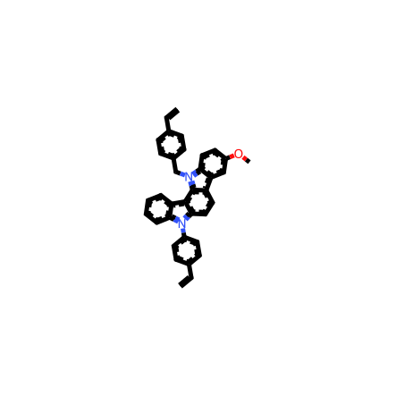 C=Cc1ccc(Cn2c3ccc(OC)cc3c3ccc4c(c5ccccc5n4-c4ccc(C=C)cc4)c32)cc1